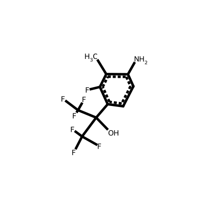 Cc1c(N)ccc(C(O)(C(F)(F)F)C(F)(F)F)c1F